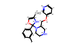 Cc1cccc(C2(N3CCNCC3COc3cccnc3)NC(C=O)=CO2)c1